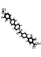 CCOc1ccc(C2CCC(C3CCC(OC(=O)C4CCC(c5ccc(C(O)CC)c(F)c5F)CC4)CC3)CC2)c(F)c1F